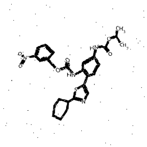 CC(C)OC(=O)Nc1ccc(-c2cnc(C3CCCCC3)s2)c(NC(=O)Oc2cccc([N+](=O)[O-])c2)c1